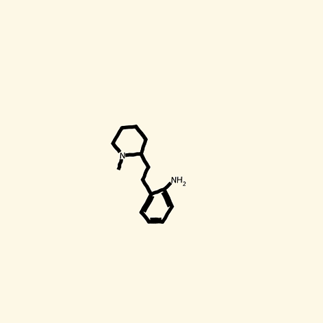 CN1CCCCC1CCc1ccccc1N